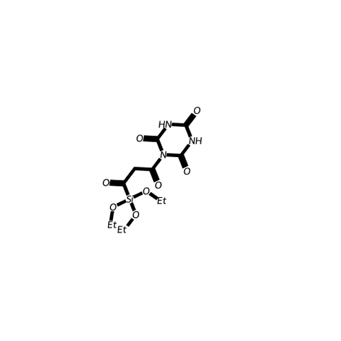 CCO[Si](OCC)(OCC)C(=O)CC(=O)n1c(=O)[nH]c(=O)[nH]c1=O